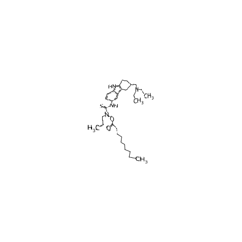 CCCCCCCCCC(=O)ON(CCC)C(=S)Nc1ccc2[nH]c3c(c2c1)CC(CN(CC)CC)CC3